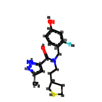 O=C(c1cc(C(F)(F)F)n[nH]1)N(CCC1CCSC1)Cc1ccc(O)cc1F